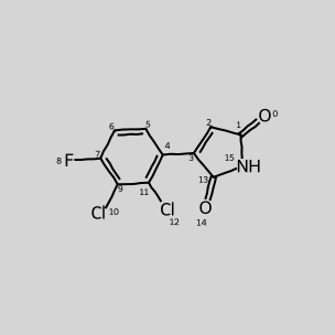 O=C1C=C(c2ccc(F)c(Cl)c2Cl)C(=O)N1